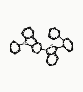 c1ccc(-c2ccccc2-c2sc(-c3ccc4c(c3)c3ccccc3n4-c3ccccc3)c3ccccc23)cc1